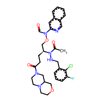 CC(=O)N(NCc1cccc(F)c1Cl)[C@@H](CCC(=O)N1CCN2CCOCC2C1)CON(C=O)c1cc2ccccc2cn1